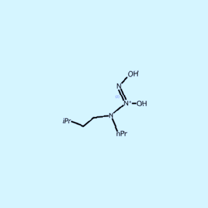 CCCN(CCC(C)C)/[N+](O)=N/O